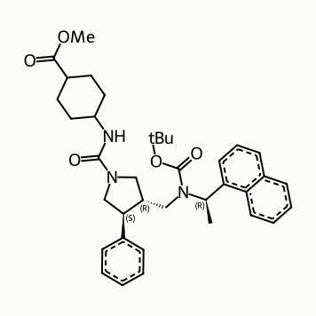 COC(=O)C1CCC(NC(=O)N2C[C@H](CN(C(=O)OC(C)(C)C)[C@H](C)c3cccc4ccccc34)[C@@H](c3ccccc3)C2)CC1